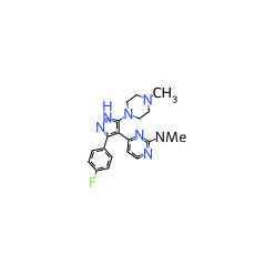 CNc1nccc(-c2c(-c3ccc(F)cc3)n[nH]c2N2CCN(C)CC2)n1